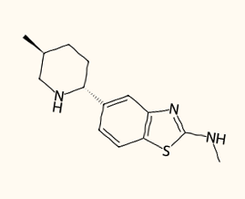 CNc1nc2cc([C@H]3CC[C@H](C)CN3)ccc2s1